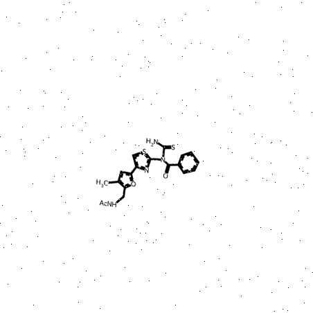 CC(=O)NCc1oc(-c2csc(N(C(=O)c3ccccc3)C(N)=S)n2)cc1C